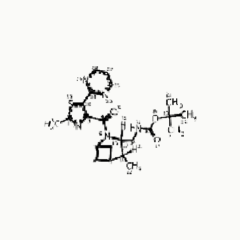 Cc1nc(C(=O)N2C3CC(C3)[C@@H](C)[C@H]2CNC(=O)OC(C)(C)C)c(-c2ncccn2)s1